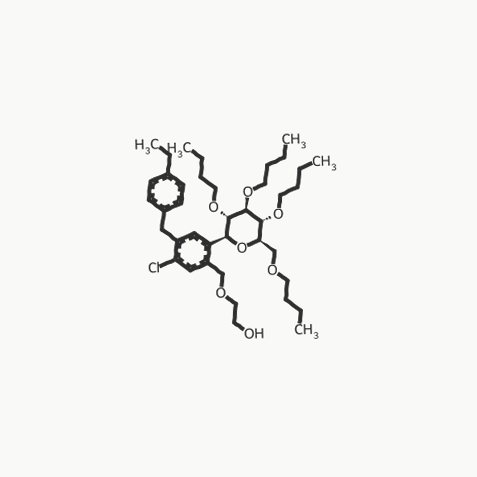 CCCCOC[C@H]1O[C@@H](c2cc(Cc3ccc(CC)cc3)c(Cl)cc2COCCO)[C@H](OCCCC)[C@@H](OCCCC)[C@@H]1OCCCC